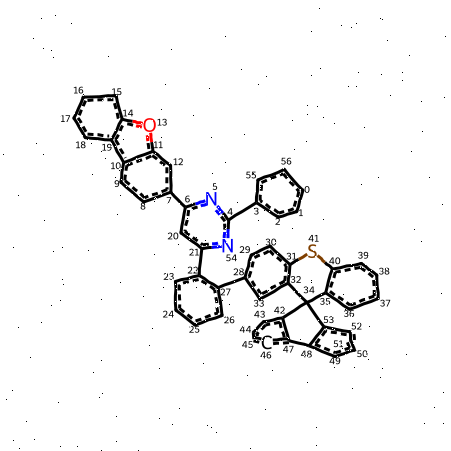 c1ccc(-c2nc(-c3ccc4c(c3)oc3ccccc34)cc(-c3ccccc3-c3ccc4c(c3)C3(c5ccccc5S4)c4ccccc4-c4ccccc43)n2)cc1